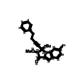 CCCCC1(C#CCCc2ccccc2)N(OC)C(=O)c2cc3ccc(I)cc3n21